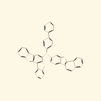 c1ccc(-c2ccc(N(c3ccc4c(c3)oc3c5ccccc5ccc43)c3cc4c5ccccc5sc4c4c3oc3ccccc34)cc2)cc1